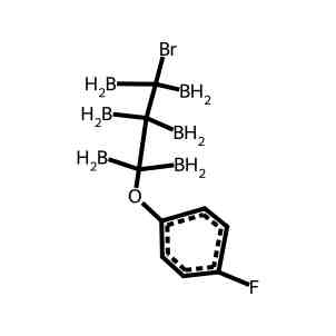 BC(B)(Br)C(B)(B)C(B)(B)Oc1ccc(F)cc1